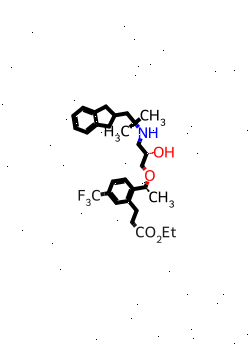 CCOC(=O)CCc1cc(C(F)(F)F)ccc1[C@@H](C)OC[C@@H](O)CNC(C)(C)CC1Cc2ccccc2C1